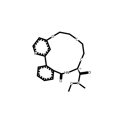 CON(C)C(=O)[C@@H]1CCCCCCOc2ccnc(c2)-c2ccccc2C(=O)N1